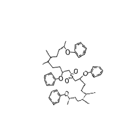 CC(CCC(C)C(C)CCC(CS(=O)(=O)CC(CCC(C)C(C)CCC(C)Oc1ccccc1)Oc1ccccc1)Oc1ccccc1)Oc1ccccc1